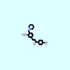 CCc1ccc(C(=O)/C=C/c2ccc(CN3CCCCC3)c(O)c2)cc1